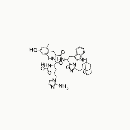 Cc1cc(O)cc(C)c1CC(NC(=O)C(CCCn1ccnc1N)NC(=O)O)C(=O)NC(Cc1c[nH]c2ccccc12)c1nc(CC23CC4CC(CC(C4)C2)C3)no1